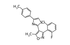 Cc1ccc(-c2csc(-c3c(-c4c(F)cccc4Cl)noc3C)n2)cc1